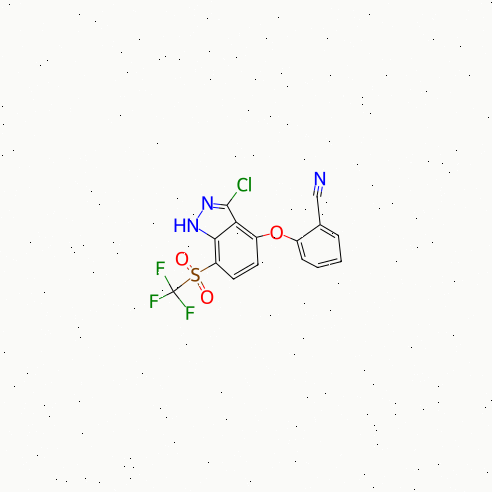 N#Cc1ccccc1Oc1ccc(S(=O)(=O)C(F)(F)F)c2[nH]nc(Cl)c12